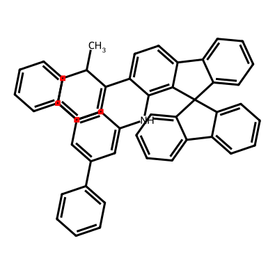 CC1CC=CC=C1c1ccc2c(c1Nc1cc(-c3ccccc3)cc(-c3ccccc3)c1)C1(c3ccccc3-c3ccccc31)c1ccccc1-2